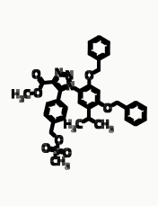 COC(=O)c1nnn(-c2cc(C(C)C)c(OCc3ccccc3)cc2OCc2ccccc2)c1-c1ccc(COS(C)(=O)=O)cc1